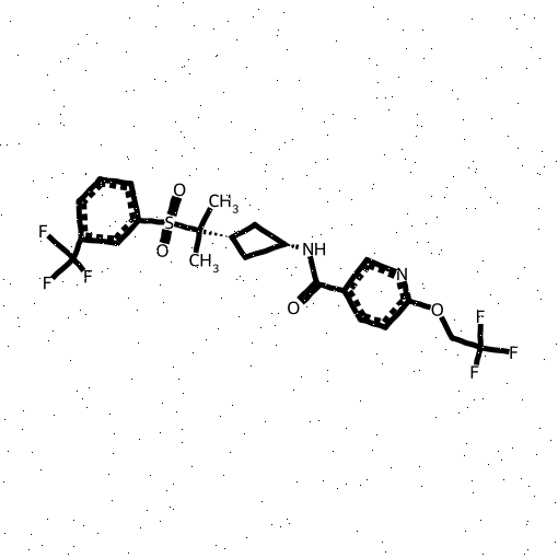 CC(C)([C@H]1C[C@@H](NC(=O)c2ccc(OCC(F)(F)F)nc2)C1)S(=O)(=O)c1cccc(C(F)(F)F)c1